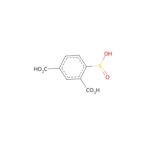 O=C(O)c1ccc(S(=O)O)c(C(=O)O)c1